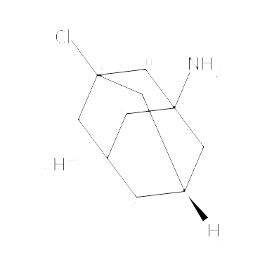 NC12C[C@H]3C[C@@H](C1)CC(Cl)(C3)C2